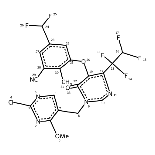 COc1nc(Cl)ncc1Cn1cnc(C(F)(F)C(F)F)c(Oc2cc(C(F)F)cc(C#N)c2C)c1=O